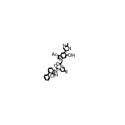 CC(=O)c1cn(CC(=O)N2C[C@H](F)C[C@H]2C(=O)NC2C=CC=C(c3ccccc3)C2(F)Cl)c2cc(O)c(-c3cnc(C)nc3)cc12